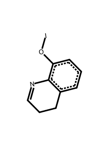 IOc1cccc2c1N=CCC2